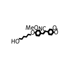 COc1cc(C=C(C#N)c2ccc3c(c2)OCO3)ccc1OCCCCCCO